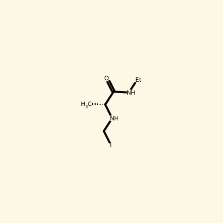 CCNC(=O)[C@@H](C)NCI